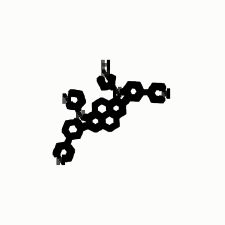 C1=C(c2ccncc2)CCc2c1c1cc3c4c(c1n2-c1cccnc1)CCc1c-4c(cc2c4cc(-c5ccncc5)ccc4n(-c4cc[nH]c4)c12)CC3